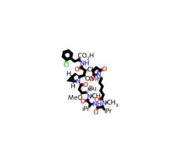 CC[C@H](C)[C@@H]([C@@H](CC(=O)N1[C@H]2C[C@H]2C[C@H]1[C@H](OC)[C@@H](C)C(=O)NC(Cc1ccccc1Cl)C(=O)O)OC)N(C)C(=O)C(NC(=O)C(C(C)C)N(C)C(=O)CCCCCN1C(=O)C=CC1=O)C(C)C